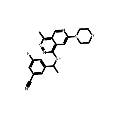 Cc1nnc(NC(C)c2cc(F)cc(C#N)c2)c2cc(N3CCOCC3)ncc12